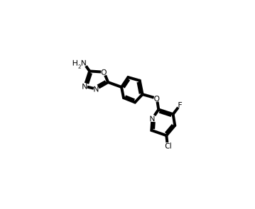 Nc1nnc(-c2ccc(Oc3ncc(Cl)cc3F)cc2)o1